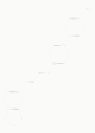 COc1ccc(N2CCN(CCCOc3ccc4c(c3)CCC4)CC2)cc1